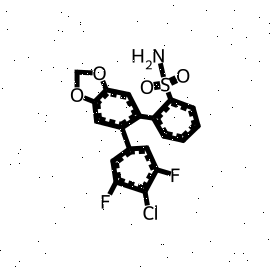 NS(=O)(=O)c1ccccc1-c1cc2c(cc1-c1cc(F)c(Cl)c(F)c1)OCO2